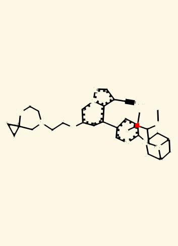 COC(CN1C2CC1CN(c1ccc(-c3cc(OCCN4CCOC5(CC5)C4)cn4ncc(C#N)c34)cn1)C2)C(C)C